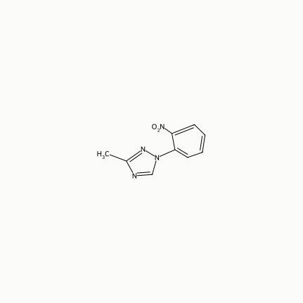 Cc1ncn(-c2ccccc2[N+](=O)[O-])n1